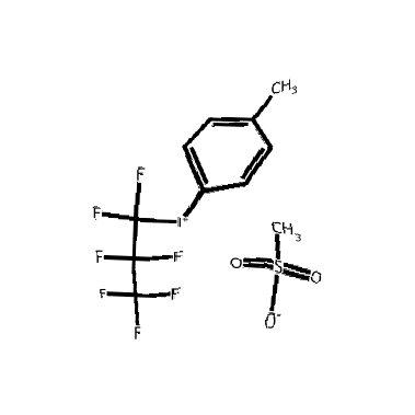 CS(=O)(=O)[O-].Cc1ccc([I+]C(F)(F)C(F)(F)C(F)(F)F)cc1